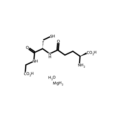 N[C@@H](CCC(=O)N[C@@H](CS)C(=O)NCC(=O)O)C(=O)O.O.[MgH2]